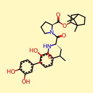 CC(C[C@H](NC(=O)[C@H](O)Cc1ccc(O)c(O)c1)C(=O)N1CCC[C@H]1C(=O)OC1CC2CCC1(C)C2(C)C)c1ccccc1